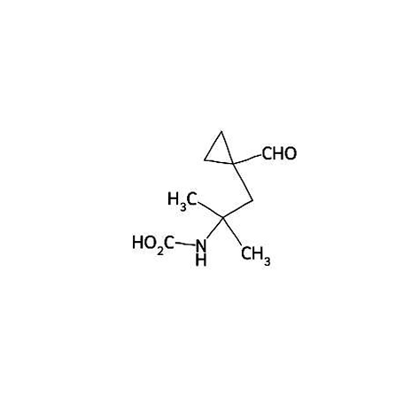 CC(C)(CC1(C=O)CC1)NC(=O)O